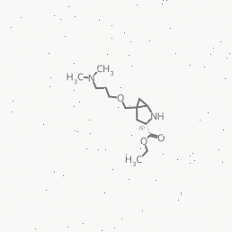 CCOC(=O)[C@@H]1CC2(COCCCN(C)C)CC2N1